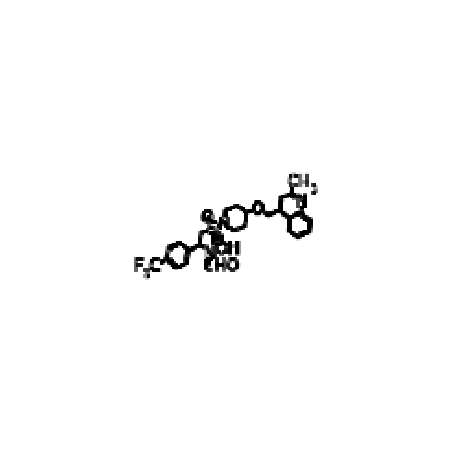 Cc1cc(COC2CCN(S(=O)(=O)CC(c3ccc(C(F)(F)F)cc3)N(O)C=O)CC2)c2ccccc2n1